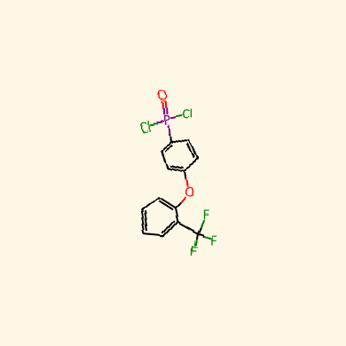 O=P(Cl)(Cl)c1ccc(Oc2ccccc2C(F)(F)F)cc1